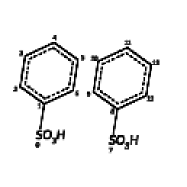 O=S(=O)(O)c1ccccc1.O=S(=O)(O)c1ccccc1